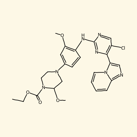 CCOC(=O)N1CCN(c2ccc(Nc3ncc(Cl)c(-c4cnc5ccccn45)n3)c(OC)c2)CC1OC